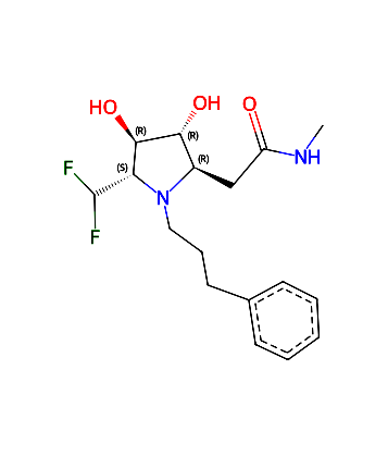 CNC(=O)C[C@@H]1[C@@H](O)[C@H](O)[C@@H](C(F)F)N1CCCc1ccccc1